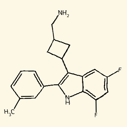 Cc1cccc(-c2[nH]c3c(F)cc(F)cc3c2C2CC(CN)C2)c1